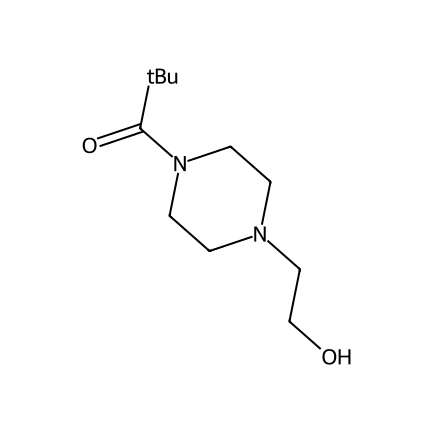 CC(C)(C)C(=O)N1CCN(CCO)CC1